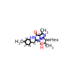 CCCCCCC(c1nc(C)c2c(=O)[nH]c(Cc3ccc(C)cc3)nn12)C(C)O